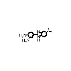 CN(C)c1ccc2[nH]c(-c3ccc(N)c(N)c3)nc2c1